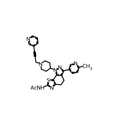 CC(=O)Nc1nc2c(s1)-c1c(c(-c3ccc(C)nc3)nn1C1CCN(CC#Cc3cccnc3)CC1)CC2